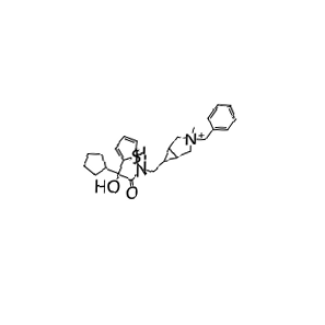 C[N+]1(Cc2ccccc2)CC2C(CNC(=O)C(O)(c3cccs3)C3CCCC3)C2C1